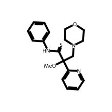 COC(CN1CCOCC1)(C(=S)Nc1ccccc1)c1ccccn1